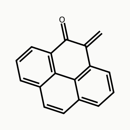 C=C1C(=O)c2cccc3ccc4cccc1c4c23